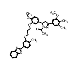 COc1ccc(C2CC(c3cc(C)c(C)c(OC)c3)=NN2C(C)=O)cc1OCCCOc1cc(-c2nc3ccccc3s2)ccc1C